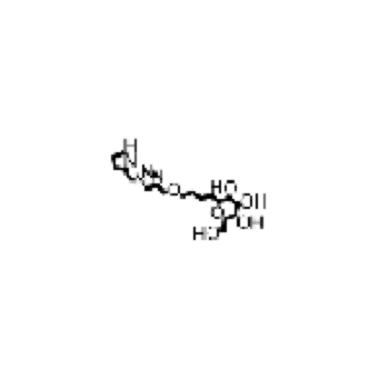 OCC1OC(CCCCOCc2cn(CC3CCCN3)nn2)C(O)C(O)C1O